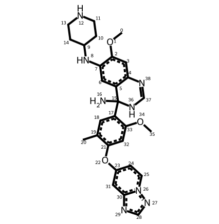 COc1cc2c(cc1NC1CCNCC1)C(N)(c1cc(C)c(Oc3ccn4ncnc4c3)cc1OC)NC=N2